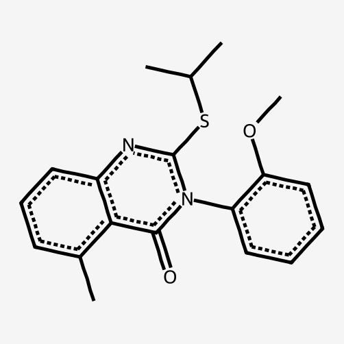 COc1ccccc1-n1c(SC(C)C)nc2cccc(C)c2c1=O